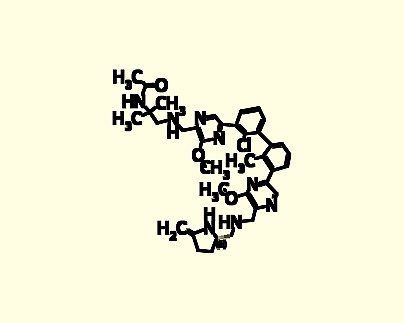 C=C1CC[C@@H](CNCc2ncc(-c3cccc(-c4cccc(-c5cnc(CNCC(C)(C)NC(C)=O)c(OC)n5)c4Cl)c3C)nc2OC)N1